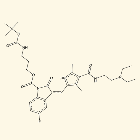 CCN(CC)CCNC(=O)c1c(C)[nH]c(C=C2C(=O)N(C(=O)OCCCNC(=O)OC(C)(C)C)c3ccc(F)cc32)c1C